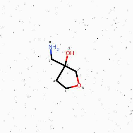 NCC1(O)CCOC1